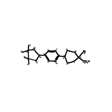 CCC1(C(=O)O)CCN(c2ncc(B3OC(C)(C)C(C)(C)O3)cn2)CC1